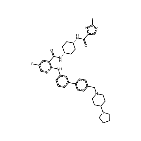 Cc1nc(C(=O)N[C@H]2CC[C@@H](NC(=O)c3cc(F)cnc3Nc3cccc(-c4ccc(CN5CCC(N6CCCC6)CC5)cc4)c3)CC2)cs1